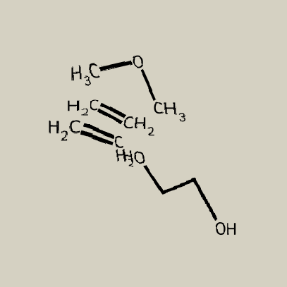 C=C.C=C.COC.OCCO